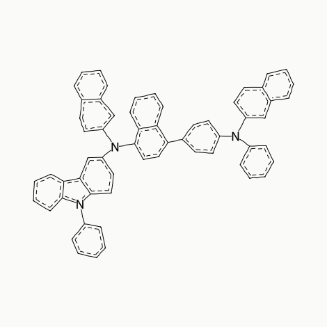 c1ccc(N(c2ccc(-c3ccc(N(c4ccc5ccccc5c4)c4ccc5c(c4)c4ccccc4n5-c4ccccc4)c4ccccc34)cc2)c2ccc3ccccc3c2)cc1